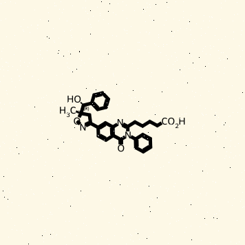 C[C@@]1([C@H](O)c2ccccc2)CC(c2ccc3c(=O)n(-c4ccccc4)c(CCCCC(=O)O)nc3c2)=NO1